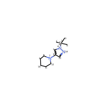 C[Si](C)(C)n1cc(N2CCCCC2)cn1